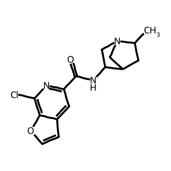 CC1CC2CN1CC2NC(=O)c1cc2ccoc2c(Cl)n1